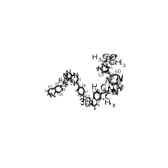 CC(C)(c1ccc2c(ccc[n+]2CP(C)(=O)c2ccc(-c3cnc4nnn(C(F)(F)c5ccc6ncccc6c5)c4n3)cc2)c1)n1nnc2ncc(-c3cnn(CP(C)(C)=O)c3)nc21